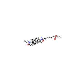 COC(=O)CCCCCCCC(=O)NCC1CC[C@H]2[C@@H]3CCC4N(C)C(=O)C=C[C@]4(C)[C@@H]3CC[C@]12C